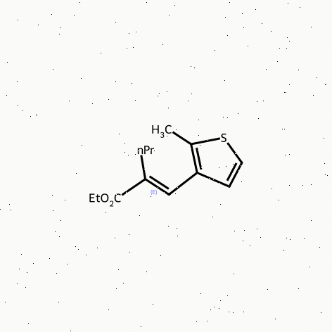 CCC/C(=C\c1ccsc1C)C(=O)OCC